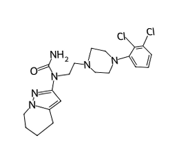 NC(=O)N(CCN1CCN(c2cccc(Cl)c2Cl)CC1)c1cc2n(n1)CCCC2